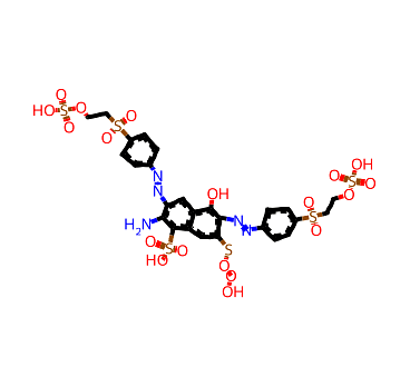 Nc1c(N=Nc2ccc(S(=O)(=O)CCOS(=O)(=O)O)cc2)cc2c(O)c(N=Nc3ccc(S(=O)(=O)CCOS(=O)(=O)O)cc3)c(SOOO)cc2c1S(=O)(=O)O